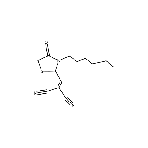 CCCCCCN1C(=O)CSC1C=C(C#N)C#N